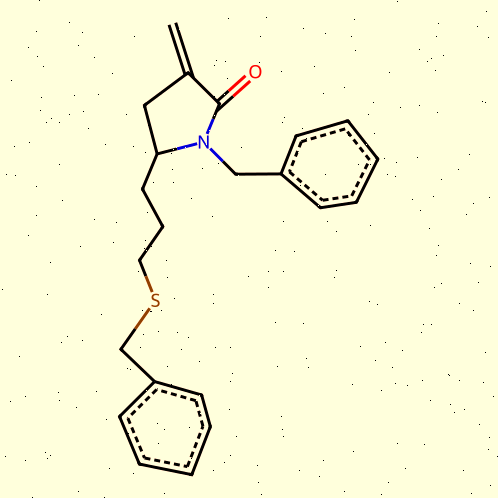 C=C1CC(CCCSCc2ccccc2)N(Cc2ccccc2)C1=O